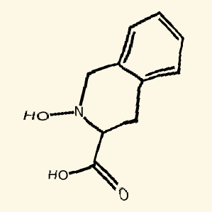 O=C(O)C1Cc2ccccc2CN1O